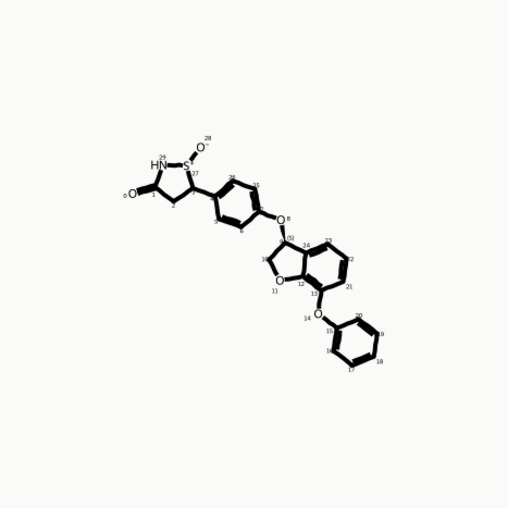 O=C1CC(c2ccc(O[C@@H]3COc4c(Oc5ccccc5)cccc43)cc2)[S+]([O-])N1